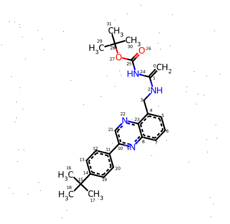 C=C(NCc1cccc2nc(-c3ccc(C(C)(C)C)cc3)cnc12)NC(=O)OC(C)(C)C